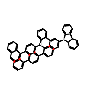 C1=CC2c3ccccc3N(c3cccc(-c4ccccc4N(c4ccc(-c5cccc6ccccc56)cc4)c4ccccc4-c4ccc(-c5ccccc5)cc4)c3)C2C=C1